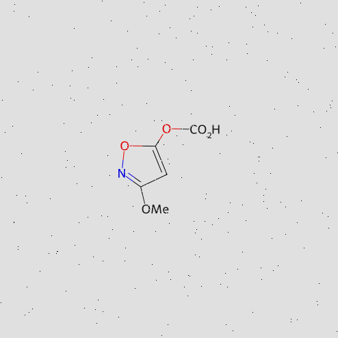 COc1cc(OC(=O)O)on1